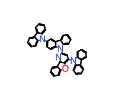 c1ccc2c(c1)oc1c(-n3c4ccccc4c4ccccc43)cc(-n3c4ccccc4c4cc(-n5c6ccccc6c6ccccc65)ccc43)nc12